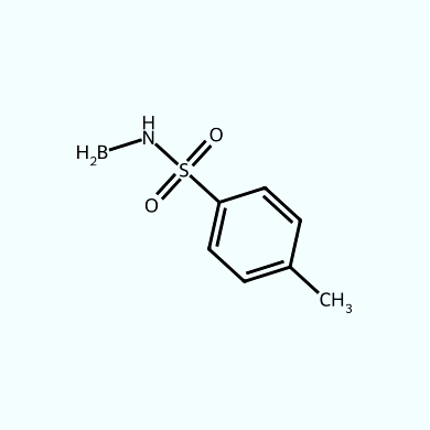 BNS(=O)(=O)c1ccc(C)cc1